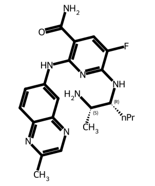 CCC[C@@H](Nc1nc(Nc2ccc3nc(C)cnc3c2)c(C(N)=O)cc1F)[C@H](C)N